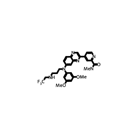 CNC(=O)c1cc(-c2cnc3ccc(N(CCCNCC(F)(F)F)c4cc(OC)cc(OC)c4)cc3n2)ccn1